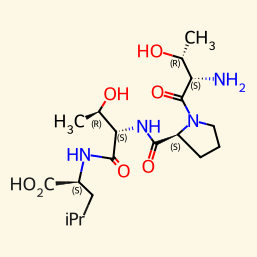 CC(C)C[C@H](NC(=O)[C@@H](NC(=O)[C@@H]1CCCN1C(=O)[C@@H](N)[C@@H](C)O)[C@@H](C)O)C(=O)O